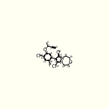 C#CC(C)Oc1cc(-c2c(Cl)n3n(c2=O)CCOCC3)c(F)cc1Cl